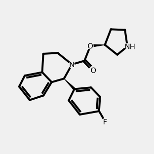 O=C(O[C@H]1CCNC1)N1CCc2ccccc2[C@@H]1c1ccc(F)cc1